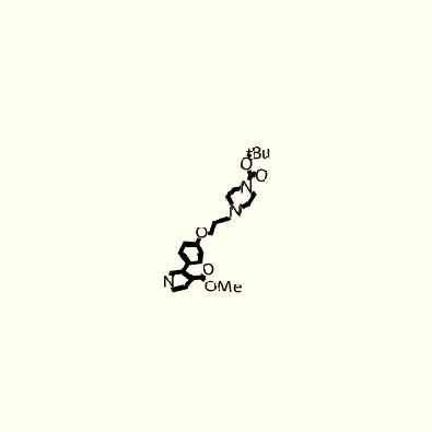 COC(=O)c1ccncc1-c1ccc(OCCCN2CCN(C(=O)OC(C)(C)C)CC2)cc1